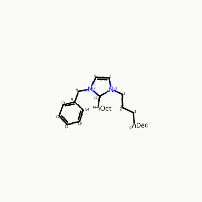 CCCCCCCCCCCCCN1C=CN(Cc2ccccc2)C1CCCCCCCC